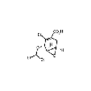 CCC1=C(C(=O)O)C[C@H]2O[C@H]2[C@@H]1OC(CC)CC